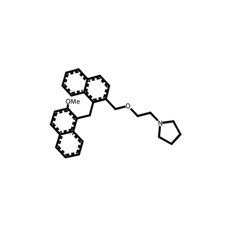 COc1ccc2ccccc2c1Cc1c(COCCN2CCCC2)ccc2ccccc12